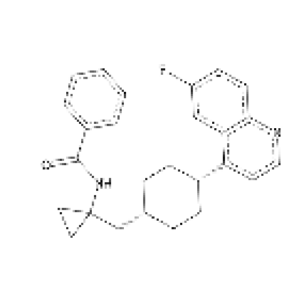 O=C(NC1(C[C@H]2CC[C@@H](c3ccnc4ccc(F)cc43)CC2)CC1)c1ccccc1